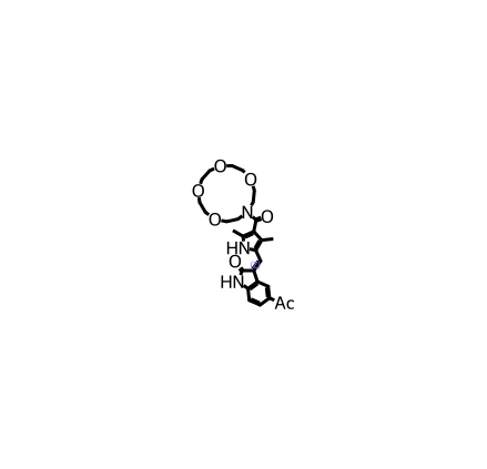 CC(=O)c1ccc2c(c1)/C(=C/c1[nH]c(C)c(C(=O)N3CCOCCOCCOCCOCC3)c1C)C(=O)N2